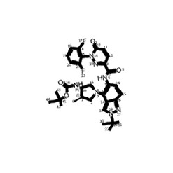 C[C@@H]1CN(c2c(NC(=O)c3ccc(=O)n(-c4c(F)cccc4F)n3)ccc3nn(C(C)(C)C)cc23)C[C@@H]1NC(=O)OC(C)(C)C